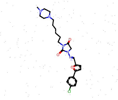 CN1CCN(CCCCCCN2C(=O)CN(/N=C/c3ccc(-c4ccc(Cl)cc4)o3)C2=O)CC1